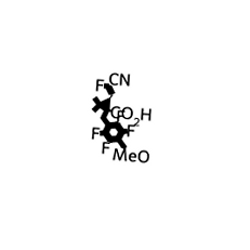 COCc1c(F)c(F)c(C[C@@]2(C(=O)O)[C@@H](C=C(F)C#N)C2(C)C)c(F)c1F